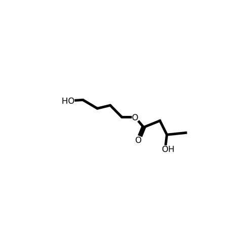 CC(O)CC(=O)OCCCCO